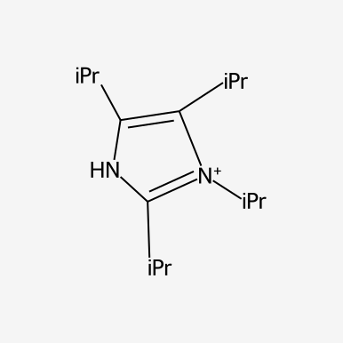 CC(C)c1[nH]c(C(C)C)[n+](C(C)C)c1C(C)C